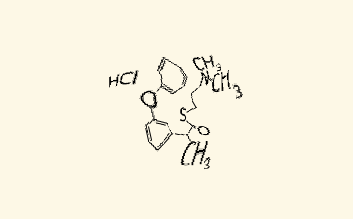 CC(C(=O)SCCN(C)C)c1cccc(Oc2ccccc2)c1.Cl